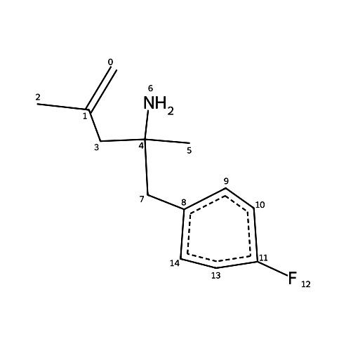 C=C(C)CC(C)(N)Cc1ccc(F)cc1